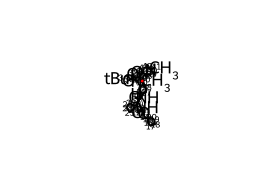 C[C@@H](c1ccc(NC(=O)[C@@H](NC(=O)OCc2ccccc2)C2CCCCC2)cc1)[C@@H](NC(=O)OC(C)(C)C)C(=O)N1CCN(C)CC1